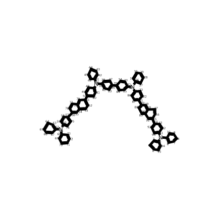 c1ccc(N(c2ccccc2)c2ccc(-c3ccc4cc(-c5ccc(N(c6ccccc6)c6ccc(-c7ccc(N(c8ccccc8)c8ccc(-c9ccc%10cc(-c%11ccc(N(c%12ccccc%12)c%12ccccc%12)cc%11)ccc%10c9)cc8)cc7)cc6)cc5)ccc4c3)cc2)cc1